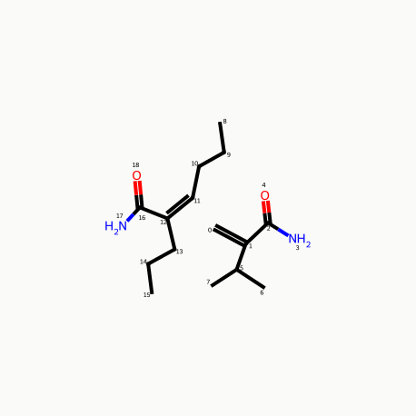 C=C(C(N)=O)C(C)C.CCCC=C(CCC)C(N)=O